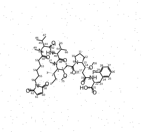 CC[C@H](C)C([C@@H](CC(=O)N1CCC[C@H]1[C@H](OC)[C@@H](C)C(=O)N[C@@H](Cc1ccccc1F)C(=O)O)OC)N(C)C(=O)[C@@H](NC(=O)C(C(C)C)N(C)C(=O)CCCCCN1C(=O)C=CC1=O)C(C)C